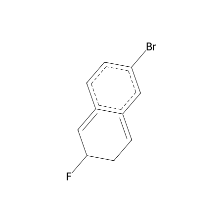 FC1C=c2ccc(Br)cc2=CC1